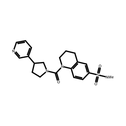 CNS(=O)(=O)c1ccc2c(c1)CCCN2C(=O)N1CCC(c2cccnc2)C1